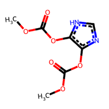 COC(=O)Oc1nc[nH]c1OC(=O)OC